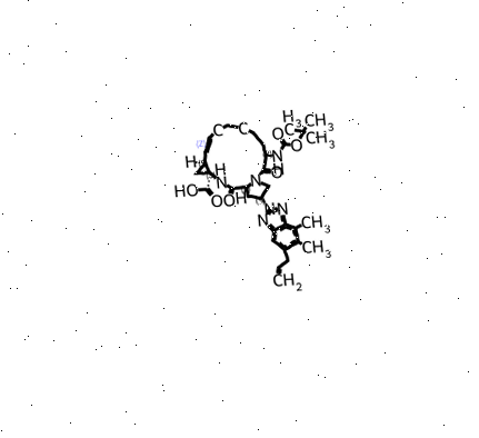 C=CCc1cc2nn([C@H]3C[C@H]4C(=O)N[C@@]5(C(=O)O)C[C@H]5/C=C\CCCCC[C@@H](NC(=O)OC(C)(C)C)C(=O)N4C3)nc2c(C)c1C